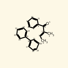 CC=C(C)C(=O)c1ccccc1.c1ccc(-c2ccccc2)cc1